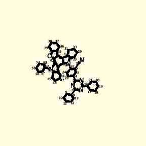 N#Cc1cc(-c2nc(-c3ccccc3)nc(-c3ccccc3)n2)ccc1-n1c2ccccc2c2c3c4ccccc4oc3c3c(c4ccccc4n3-c3ccccc3)c21